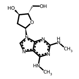 CNc1nc(NC)c2ncn([C@H]3C[C@@H](O)[C@H](CO)O3)c2n1